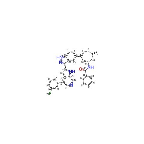 C=C1CC=C(c2ccc3[nH]nc(-c4cc5c(-c6cccc(F)c6)cncc5[nH]4)c3c2)C=C(NC(=O)c2ccccc2)C1